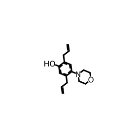 C=CCc1cc(N2CCOCC2)c(CC=C)cc1O